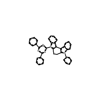 c1ccc(-c2nc(-c3ccccc3)nc(-n3c4c(c5ccccc53)-c3c(n(-c5ccccc5)c5ccccc35)CC4)n2)cc1